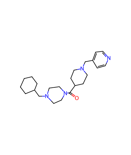 O=C(C1CCN(Cc2ccncc2)CC1)N1CCN(CC2CCCCC2)CC1